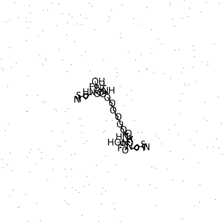 Cc1ncsc1-c1ccc(CNC(=O)[C@@H]2[C@@H](F)[C@@H](O)CN2C(=O)[C@@H](NC(=O)COCCOCCOCCOCCOCCOCC(=O)N[C@H](C(=O)N2C[C@H](O)[C@H](F)[C@H]2C(=O)NCc2ccc(-c3scnc3C)cc2)C(C)(C)C)C(C)(C)C)cc1